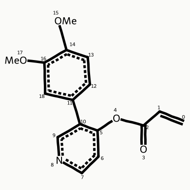 C=CC(=O)Oc1ccncc1-c1ccc(OC)c(OC)c1